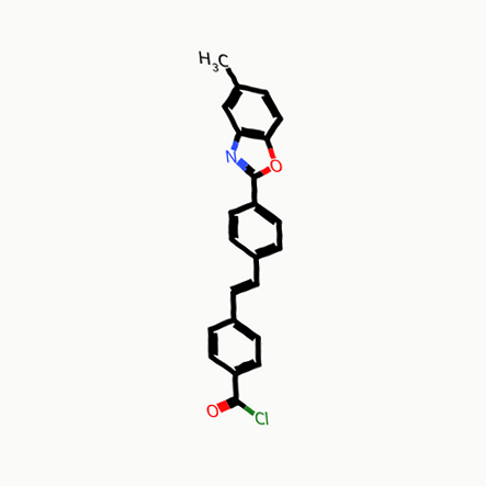 Cc1ccc2oc(-c3ccc(C=Cc4ccc(C(=O)Cl)cc4)cc3)nc2c1